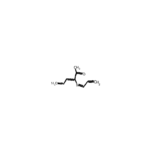 C=C/C=N\C(=C/C=C)C(C)=O